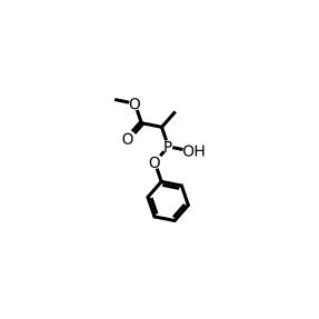 COC(=O)C(C)P(O)Oc1ccccc1